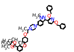 Cc1c(OC2CCC(OC[C@H](C)N3CCN(c4ccc5c(-c6ccc(OCc7ccccc7)nc6OCc6ccccc6)nn(C)c5c4)CC3)CC2)cccc1B1OC(C)(C)C(C)(C)O1